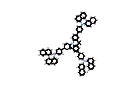 CC1(C)c2cc(-c3ccc(N(c4ccc5c(c4)CCC=C5)c4cccc5ccccc45)cc3)ccc2-n2c3c(c4cc(C5=CC=C(N(c6ccc7ccccc7c6)c6cccc7ccccc67)CC5)cc1c42)CC(c1ccc(N(c2ccc4ccccc4c2)c2cccc4ccccc24)cc1)C=C3